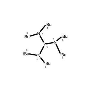 CCC(C)N(C(C)CC)P(N(C(C)CC)C(C)CC)N(C(C)CC)C(C)CC